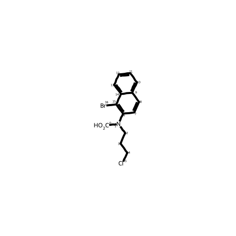 O=C(O)N(CCCCl)c1ccc2ccccc2c1Br